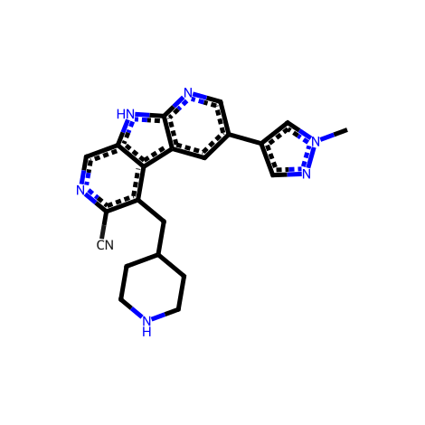 Cn1cc(-c2cnc3[nH]c4cnc(C#N)c(CC5CCNCC5)c4c3c2)cn1